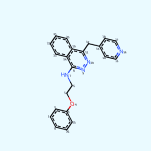 c1ccc(OCCNc2nnc(Cc3ccncc3)c3ccccc23)cc1